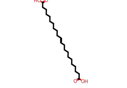 O=C(O)CCCCCCCCCC=CCCCCCCCCCC(=O)O